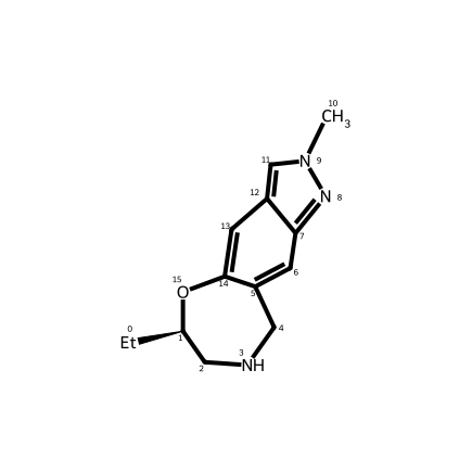 CC[C@@H]1CNCc2cc3nn(C)cc3cc2O1